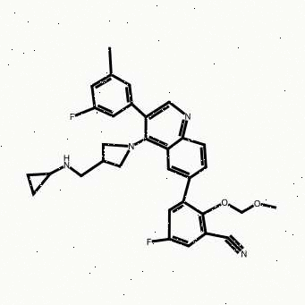 COCOc1c(C#N)cc(F)cc1-c1ccc2ncc(-c3cc(C)cc(F)c3)c(N3CC(CNC4CC4)C3)c2c1